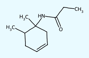 CCC(=O)NC1(C)CC=CCC1C